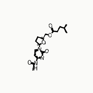 CC(=O)Nc1ccn([C@H]2CC[C@@H](COC(=O)CCC(C)C)O2)c(=O)n1